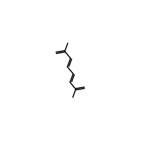 C=C(C)/C=C/C=C/C(=C)C